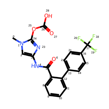 Cn1cc(NC(=O)c2ccccc2-c2ccc(C(F)(F)F)cc2)nc1OC(=O)O